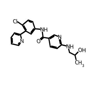 CC(O)CNc1ccc(C(=O)Nc2ccc(Cl)c(-c3ccccn3)c2)cn1